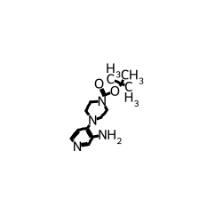 CC(C)(C)OC(=O)N1CCN(c2ccncc2N)CC1